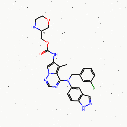 Cc1c(NC(=O)OC[C@@H]2COCCN2)cn2ncnc(N(Cc3cccc(F)c3)c3ccc4[nH]ncc4c3)c12